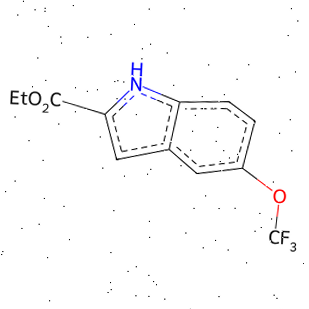 CCOC(=O)c1cc2cc(OC(F)(F)F)ccc2[nH]1